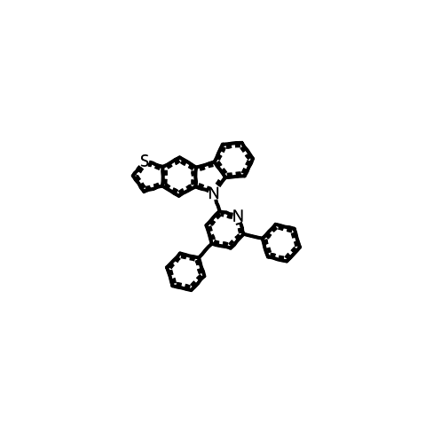 c1ccc(-c2cc(-c3ccccc3)nc(-n3c4ccccc4c4cc5sccc5cc43)c2)cc1